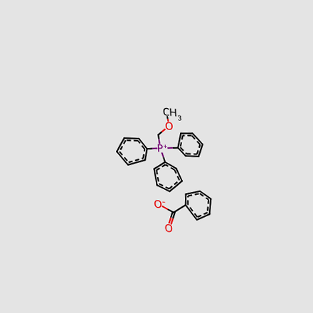 COC[P+](c1ccccc1)(c1ccccc1)c1ccccc1.O=C([O-])c1ccccc1